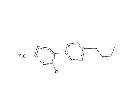 C/C=C\Cc1ccc(-c2ccc(C(F)(F)F)cc2Cl)cc1